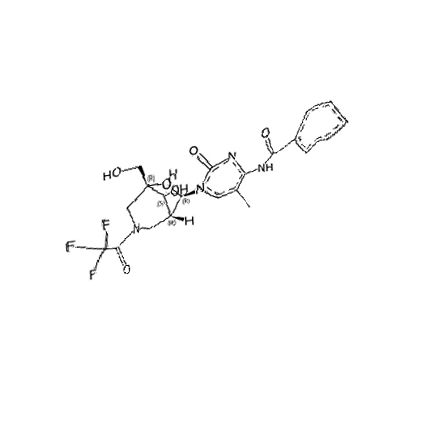 Cc1cn([C@@H]2O[C@@]3(CO)CN(C(=O)C(F)(F)F)C[C@@H]2[C@@H]3O)c(=O)nc1NC(=O)c1ccccc1